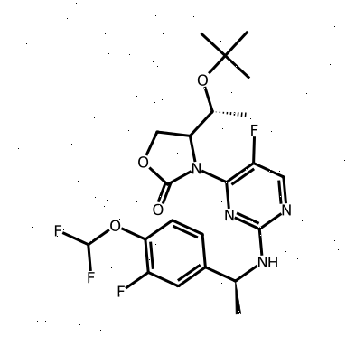 C[C@H](Nc1ncc(F)c(N2C(=O)OCC2[C@@H](C)OC(C)(C)C)n1)c1ccc(OC(F)F)c(F)c1